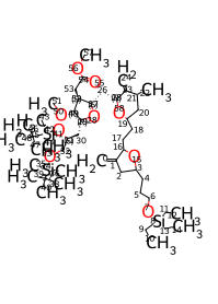 C=C1CC(CCCO[Si](CC)(CC)CC)OC1CCC1CC(C)C(=C)[C@@H](C[C@@H]2O[C@H](C[C@@H](CO[Si](C)(C)C(C)(C)C)O[Si](C)(C)C(C)(C)C)[C@H](OC)[C@H]2CC(=O)OC)O1